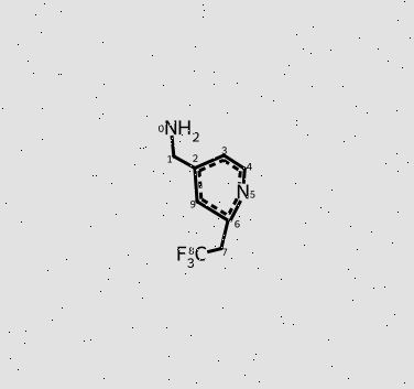 NCc1ccnc(CC(F)(F)F)c1